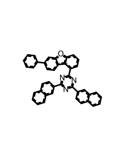 c1ccc(-c2ccc3c(c2)oc2cccc(-c4nc(-c5ccc6ccccc6c5)nc(-c5ccc6ccccc6c5)n4)c23)cc1